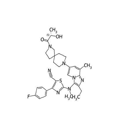 CCc1nc2c(C)cc(N3CCC4(CCN(C(=O)[C@H](C)O)C4)CC3)cn2c1N(C)c1nc(-c2ccc(F)cc2)c(C#N)s1